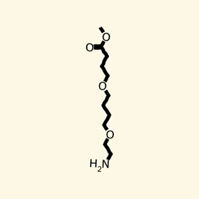 COC(=O)CCCOCCCCOCCN